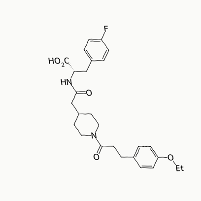 CCOc1ccc(CCC(=O)N2CCC(CC(=O)N[C@@H](Cc3ccc(F)cc3)C(=O)O)CC2)cc1